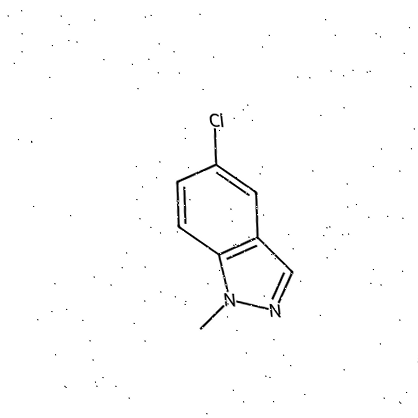 Cn1ncc2cc(Cl)ccc21